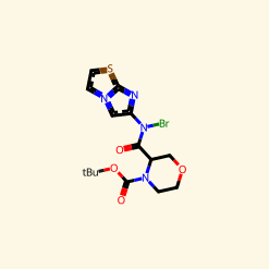 CC(C)(C)OC(=O)N1CCOCC1C(=O)N(Br)c1cn2ccsc2n1